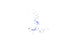 N#Cc1cccc(-c2cc(-c3cn(Cc4cccc(CCC(=O)O)n4)nn3)nc(N[C@@H]3CCOC3)n2)c1